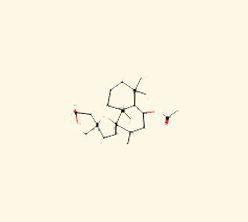 CC(=O)OC1CC(C)C2(CCC3(COC(=O)C3)O2)C2(C)CCCC(C)(C)C12